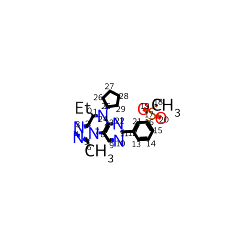 CC[C@@H]1c2nnc(C)n2-c2cnc(-c3cccc(S(C)(=O)=O)c3)nc2N1C1CCCC1